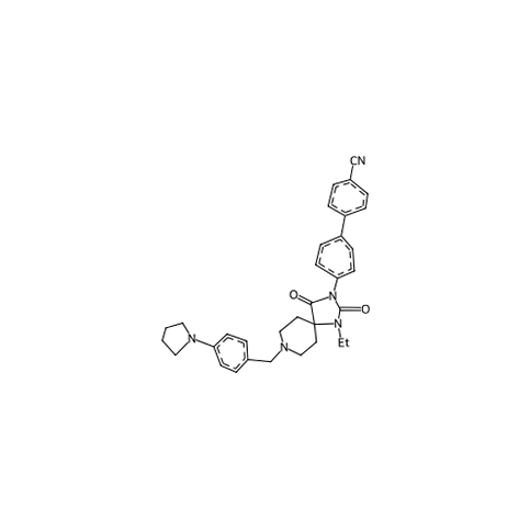 CCN1C(=O)N(c2ccc(-c3ccc(C#N)cc3)cc2)C(=O)C12CCN(Cc1ccc(N3CCCC3)cc1)CC2